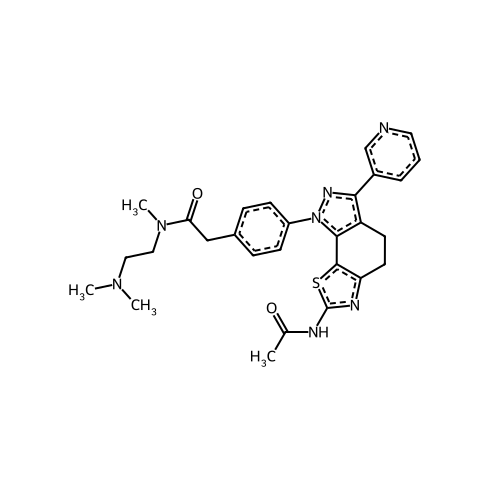 CC(=O)Nc1nc2c(s1)-c1c(c(-c3cccnc3)nn1-c1ccc(CC(=O)N(C)CCN(C)C)cc1)CC2